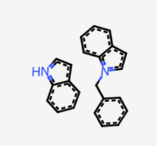 c1ccc(Cn2ccc3ccccc32)cc1.c1ccc2[nH]ccc2c1